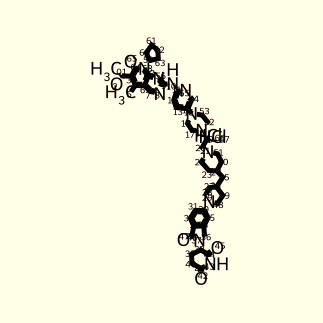 CC(=O)c1c(C)c2cnc(Nc3ccc(N4CCN(CCN5CCC(CC6CCN(c7ccc8c(c7)CN([C@H]7CCC(=O)NC7=O)C8=O)CC6)CC5)CC4)cn3)nc2n(C2CCCC2)c1=O.Cl.Cl